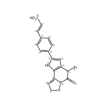 CCN1C(=O)N2CCN=C2c2[nH]c(-c3ccc(/C=C/C(=O)O)cc3)nc21